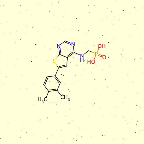 Cc1ccc(-c2cc3c(NCP(=O)(O)O)ncnc3s2)cc1C